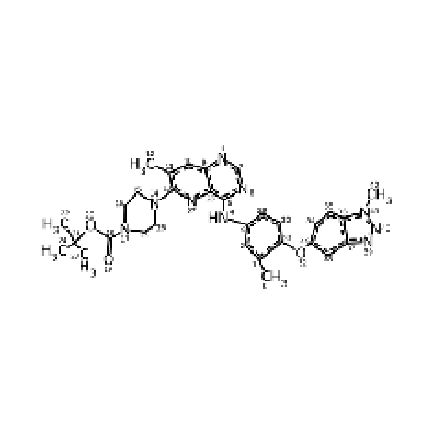 Cc1cc(Nc2ncnc3cc(C)c(N4CCN(C(=O)OC(C)(C)C)CC4)nc23)ccc1Oc1ccc2c(c1)nnn2C